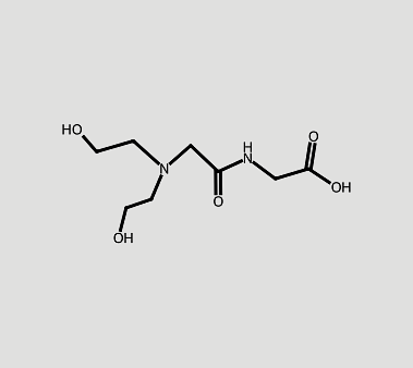 O=C(O)CNC(=O)CN(CCO)CCO